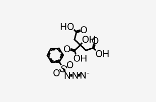 O=C(O)CC(O)(CC(=O)O)C(=O)O.[N-]=[N+]=NS(=O)(=O)c1ccccc1